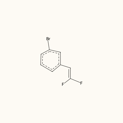 FC(F)=Cc1cccc(Br)c1